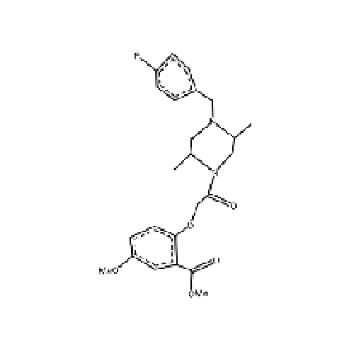 COC(=O)c1cc(OC)ccc1OCC(=O)N1CC(C)N(Cc2ccc(F)cc2)CC1C